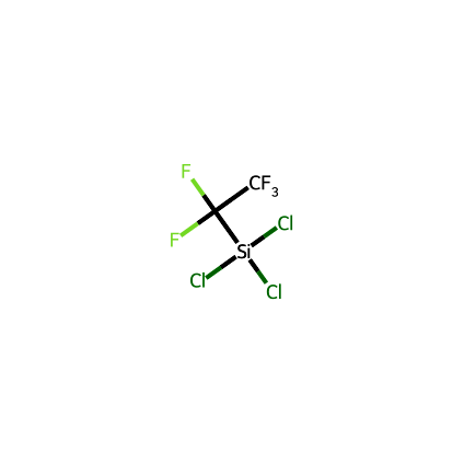 FC(F)(F)C(F)(F)[Si](Cl)(Cl)Cl